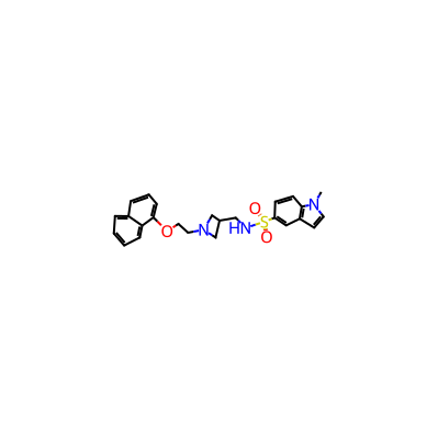 Cn1ccc2cc(S(=O)(=O)NCC3CN(CCOc4cccc5ccccc45)C3)ccc21